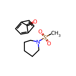 CS(=O)(=O)N1CCCCC1.O=C1C2=CC=C1C=C2